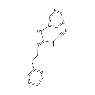 N#CNC(=NCCc1ccccc1)Nc1cncnc1